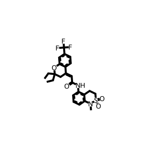 CCC1(CC)C/C(=C\C(=O)Nc2cccc3c2CCS(=O)(=O)N3C)c2ccc(C(F)(F)F)cc2O1